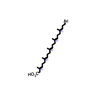 CC(=O)CC/C=C(\C)CC/C=C(\C)CC/C=C(\C)CC/C=C(\C)CC/C=C(\C)CC(=O)O